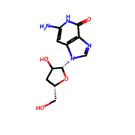 Nc1cc2c(ncn2[C@@H]2O[C@H](CO)CC2O)c(=O)[nH]1